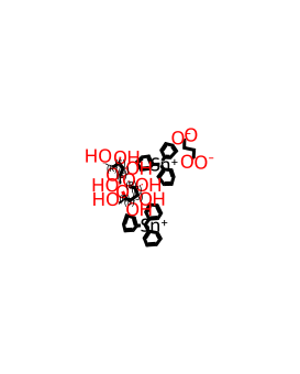 O=C([O-])CCC(=O)[O-].OC[C@H]1O[C@@](CO)(O[C@H]2O[C@H](CO)[C@@H](O)[C@H](O)[C@H]2O)[C@@H](O)[C@@H]1O.c1cc[c]([Sn+]([c]2ccccc2)[c]2ccccc2)cc1.c1cc[c]([Sn+]([c]2ccccc2)[c]2ccccc2)cc1